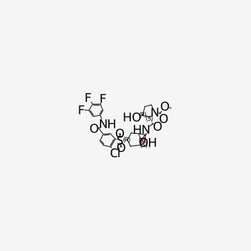 COC(=O)N1CC[C@@H](O)[C@H]1C(=O)NC[C@@]1(O)C2C[C@@H](S(=O)(=O)c3cc(C(=O)Nc4cc(F)c(F)c(F)c4)ccc3Cl)CC1[C@@H](C)C2